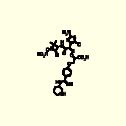 CC1(C)[C@H](NC(=O)/C(=N\OC(COc2ccc(C(=N)N[C@@H]3CCCNC3)cc2)C(=O)O)c2nc(N)sc2Cl)C(=O)N1OS(=O)(=O)O